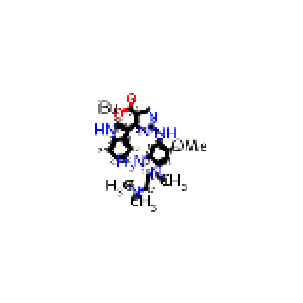 CCC(C)OC(=O)c1cnc(Nc2cc(N)c(N(C)CCN(C)C)cc2OC)nc1-c1c[nH]c2ccccc12